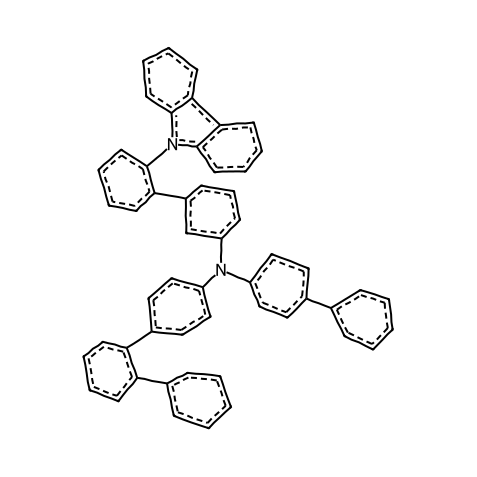 c1ccc(-c2ccc(N(c3ccc(-c4ccccc4-c4ccccc4)cc3)c3cccc(-c4ccccc4-n4c5ccccc5c5ccccc54)c3)cc2)cc1